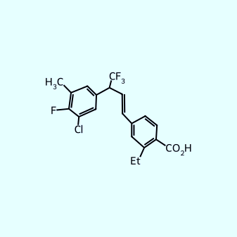 CCc1cc(/C=C/C(c2cc(C)c(F)c(Cl)c2)C(F)(F)F)ccc1C(=O)O